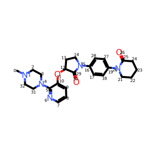 CN1CCN(c2ncccc2OC2CCN(c3ccc(N4CCCCC4=O)cc3)C2=O)CC1